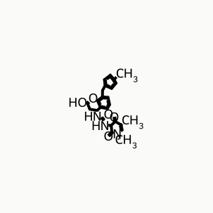 CC1=CN(C)C(=O)C(NC(=O)NC(CC(=O)O)c2cccc(Cc3ccc(C)cc3)c2)C1=O